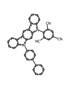 N#Cc1cc(C#N)c(-n2c3ccccc3c3cc4c5ccccc5n(-c5ccc(-c6ccccc6)cc5)c4cc32)c(C#N)c1